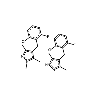 Cc1n[nH]c(C)c1Cc1c(F)cccc1Cl.Cc1nn(C)c(C)c1Cc1c(F)cccc1Cl